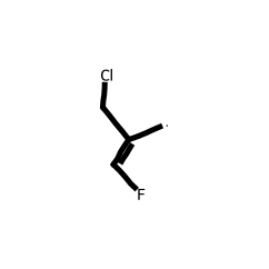 [CH2]/C(=C\F)CCl